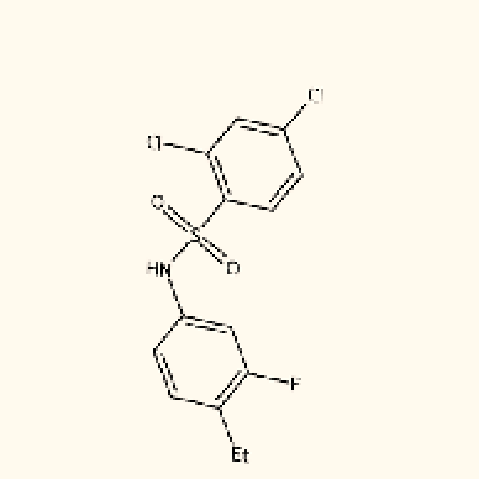 CCc1ccc(NS(=O)(=O)c2ccc(Cl)cc2Cl)cc1F